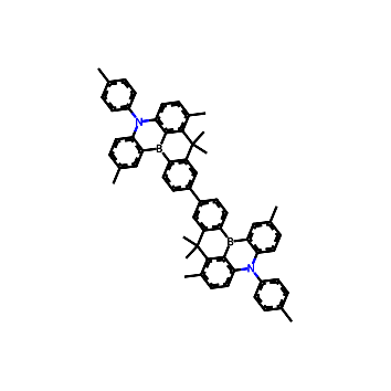 Cc1ccc(N2c3ccc(C)cc3B3c4ccc(-c5ccc6c(c5)C(C)(C)c5c(C)ccc7c5B6c5cc(C)ccc5N7c5ccc(C)cc5)cc4C(C)(C)c4c(C)ccc2c43)cc1